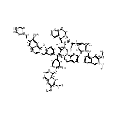 COc1cc2nccc(Oc3ccc(NC(=O)C(=O)N(CC4c5ccccc5CCN4C)N(CC4NCCc5ccccc54)C(=O)C(=O)N(c4ccc(Oc5ccnc6cc(OC)c(OC)cc56)c(F)c4)c4ccc(Oc5ccnc6cc(OCC7CCNCC7)c(OC)cc56)c(F)c4)cc3F)c2cc1OC